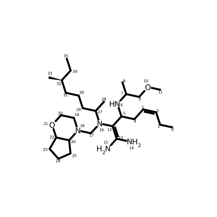 CC/C=C\CC(NC(C)COC)C(=C(N)N)N(CN1CCOC2CCCC21)C(C)CCC[C@@H](C)CC